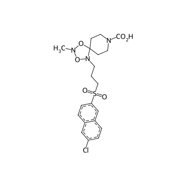 CN1ON(CCCS(=O)(=O)c2ccc3cc(Cl)ccc3c2)C2(CCN(C(=O)O)CC2)O1